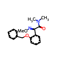 CO/N=C(/C(=O)N(C)C)c1ccccc1OCc1ccccc1